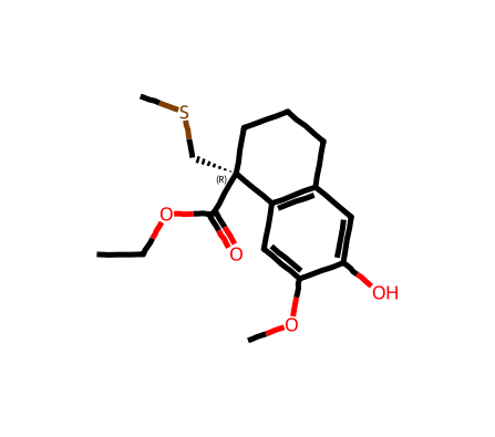 CCOC(=O)[C@@]1(CSC)CCCc2cc(O)c(OC)cc21